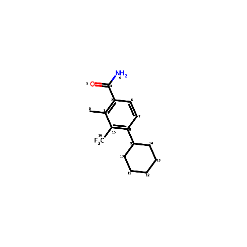 Cc1c(C(N)=O)ccc(C2CCCCC2)c1C(F)(F)F